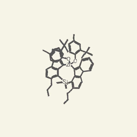 CCCc1ccc2c3c1[Si](C)(C)c1c(CCC)ccc4c1[C](=C1C=CC=CC14)[Zr]([O]c1ccc(C)cc1C(C)(C)C)([O]c1ccc(C)cc1C(C)(C)C)[C]3=C1C=CC=CC12